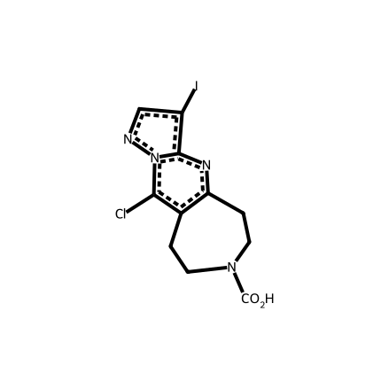 O=C(O)N1CCc2nc3c(I)cnn3c(Cl)c2CC1